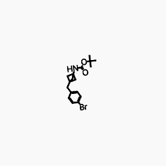 CC(C)(C)OC(=O)NC12CC(Cc3ccc(Br)cc3)(C1)C2